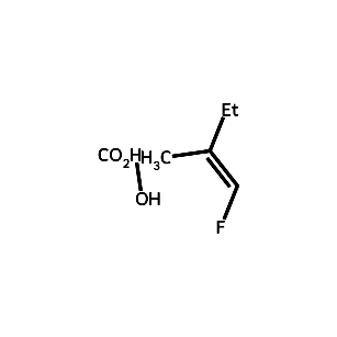 CCC(C)=CF.O=C(O)O